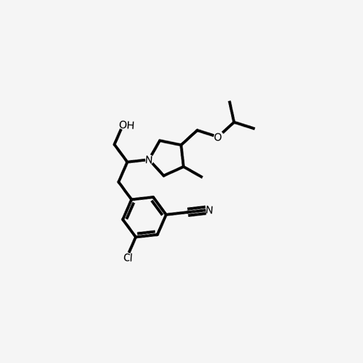 CC(C)OCC1CN(C(CO)Cc2cc(Cl)cc(C#N)c2)CC1C